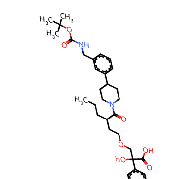 CCCC(CCOCC(O)(C(=O)O)c1ccccc1)C(=O)N1CCC(c2cccc(CNC(=O)OC(C)(C)C)c2)CC1